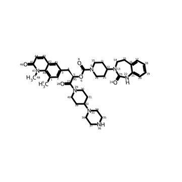 Cc1cc(C[C@@H](OC(=O)N2CCC(N3CCc4ccccc4NC3=O)CC2)C(=O)N2CCC(N3CCNCC3)CC2)cc2ccc(=O)n(C)c12